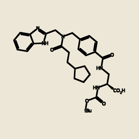 CC(C)(C)OC(=O)N[C@@H](CNC(=O)c1ccc(CN(Cc2nc3ccccc3[nH]2)C(=O)CCC2CCCC2)cc1)C(=O)O